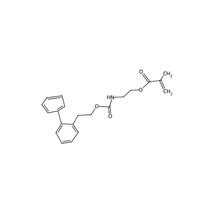 C=C(C)C(=O)OCCNC(=O)OCCc1ccccc1-c1ccccc1